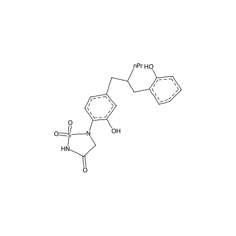 CCCC(Cc1ccc(N2CC(=O)NS2(=O)=O)c(O)c1)Cc1ccccc1O